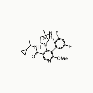 COc1ncc(C(=O)NC(C)C2CC2)c(N2CC[C@](C)(N)C2)c1-c1cc(F)cc(F)c1